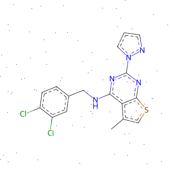 Cc1csc2nc(-n3cccn3)nc(NCc3ccc(Cl)c(Cl)c3)c12